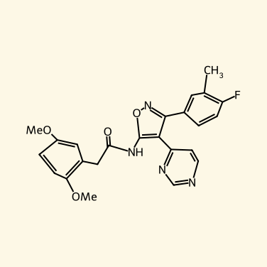 COc1ccc(OC)c(CC(=O)Nc2onc(-c3ccc(F)c(C)c3)c2-c2ccncn2)c1